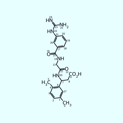 Cc1ccc(C)c(C(CC(=O)O)NC(=O)CNC(=O)c2cccc(NC(=N)N)c2)c1